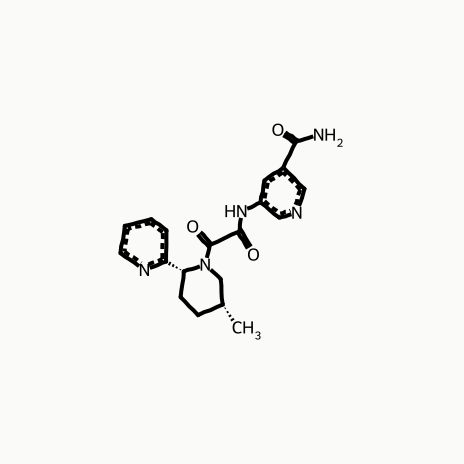 C[C@@H]1CC[C@H](c2ccccn2)N(C(=O)C(=O)Nc2cncc(C(N)=O)c2)C1